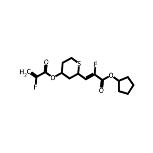 C=C(F)C(=O)OC1CCSC(/C=C(\F)C(=O)OC2CCCC2)C1